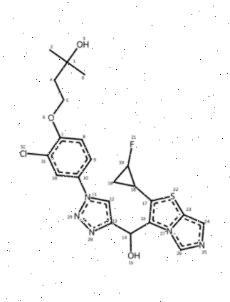 CC(C)(O)CCOc1ccc(-n2cc(C(O)c3c(C4CC4F)sc4cncn34)nn2)cc1Cl